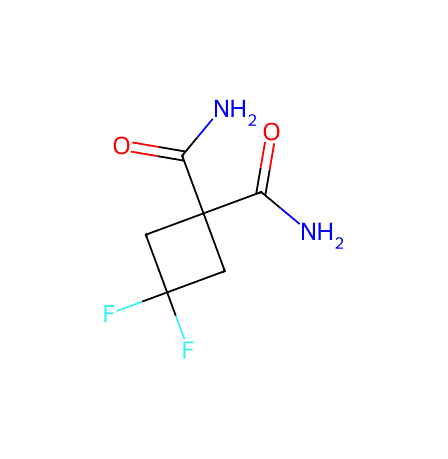 NC(=O)C1(C(N)=O)CC(F)(F)C1